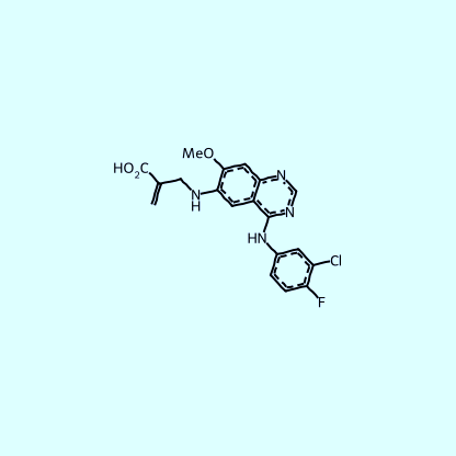 C=C(CNc1cc2c(Nc3ccc(F)c(Cl)c3)ncnc2cc1OC)C(=O)O